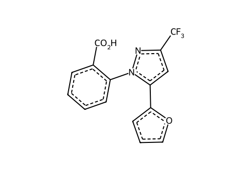 O=C(O)c1ccccc1-n1nc(C(F)(F)F)cc1-c1ccco1